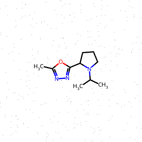 Cc1nnc(C2CCCN2C(C)C)o1